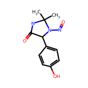 CC1(C)[N]C(=O)C(c2ccc(O)cc2)N1N=O